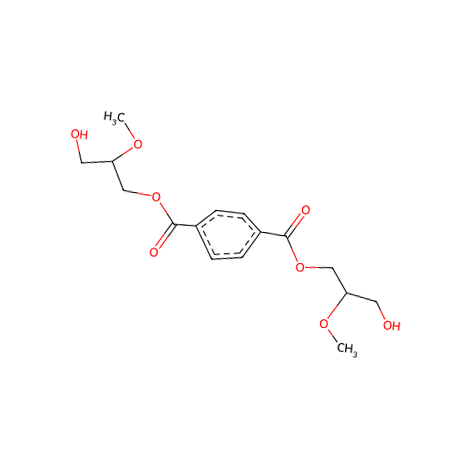 COC(CO)COC(=O)c1ccc(C(=O)OCC(CO)OC)cc1